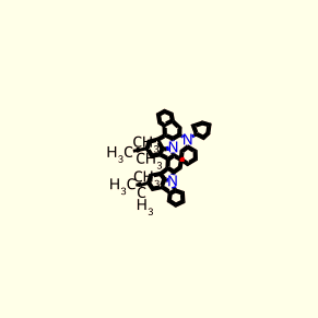 CC(C)(C)c1cc2c3ccccc3n3c4ccc5c(c6cc(C(C)(C)C)cc7c8c9ccccc9cc(N(c9ccccc9)c9ccccc9)c8n5c67)c4c(c1)c23